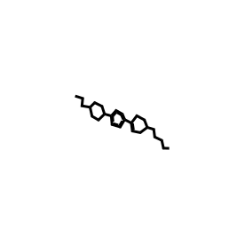 CCCCCC1CC=C(c2ccc(C3CCC(CCC)CC3)cc2)CC1